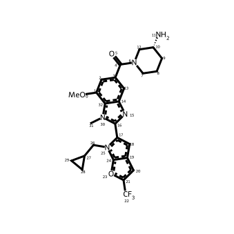 COc1cc(C(=O)N2CCC[C@@H](N)C2)cc2nc(-c3cc4cc(C(F)(F)F)oc4n3CC3CC3)n(C)c12